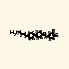 C=CCCCC1CCC(C2CCC(OCc3ccc(F)c(F)c3)CC2)CC1